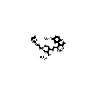 COc1ccc2ncc(F)c(C(O)CCC3CCN(CCSc4nccs4)CC3CC(=O)O)c2c1